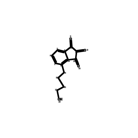 O=c1c(=O)c2cccc(CCCCO)c2c1=O